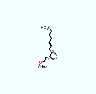 CCCCCCOCC[C@@H]1CSC[C@@H]1CC=CCCCC(=O)O